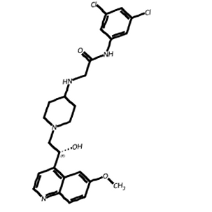 COc1ccc2nccc([C@@H](O)CN3CCC(NCC(=O)Nc4cc(Cl)cc(Cl)c4)CC3)c2c1